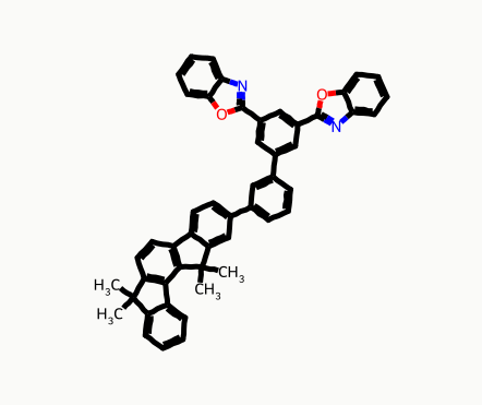 CC1(C)c2ccccc2-c2c1ccc1c2C(C)(C)c2cc(-c3cccc(-c4cc(-c5nc6ccccc6o5)cc(-c5nc6ccccc6o5)c4)c3)ccc2-1